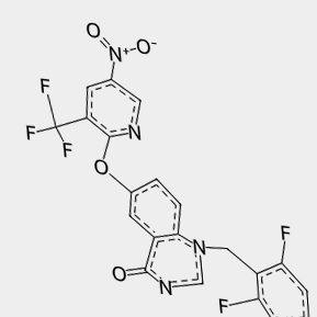 O=c1ncn(Cc2c(F)cc(F)cc2F)c2ccc(Oc3ncc([N+](=O)[O-])cc3C(F)(F)F)cc12